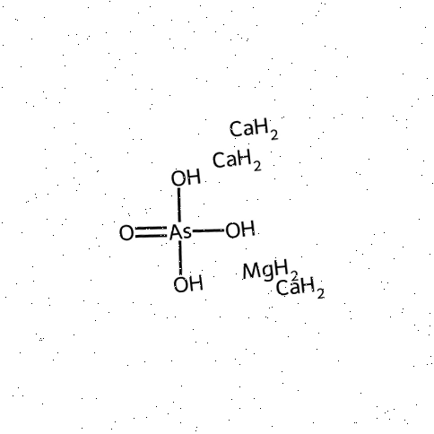 O=[As](O)(O)O.[CaH2].[CaH2].[CaH2].[MgH2]